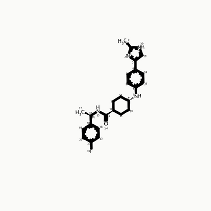 Cc1nc(-c2ccc(N[C@H]3CC[C@H](C(=O)N[C@H](C)c4ccc(F)cc4)CC3)cc2)c[nH]1